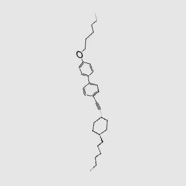 CCCCCCOc1ccc(-c2ccc(C#C[C@H]3CC[C@H](CCCCCC)CC3)cc2)cc1